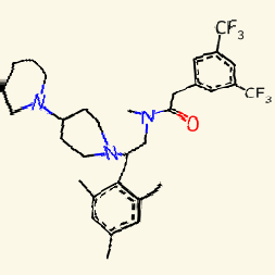 Cc1cc(C)c(C(CN(C)C(=O)Cc2cc(C(F)(F)F)cc(C(F)(F)F)c2)N2CCC(N3CCCCC3)CC2)c(C)c1